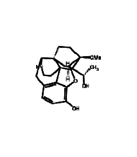 CO[C@]12CC[C@@]3(C[C@@H]1[C@H](C)O)C1Cc4ccc(O)c5c4C3(CCN1)[C@H]2O5